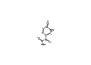 [NH]C(=O)C(=O)c1ccc(=O)[nH]c1